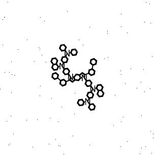 c1ccc(-c2cccc(-c3cc4cc5c(cc(-c6cccc(-c7ccccc7)c6)n5-c5ccc(N(c6ccc(N(c7ccccc7)c7ccccc7)cc6)c6cccc7ccccc67)cc5)cc4n3-c3ccc(N(c4ccc(N(c5ccccc5)c5ccccc5)cc4)c4cccc5ccccc45)cc3)c2)cc1